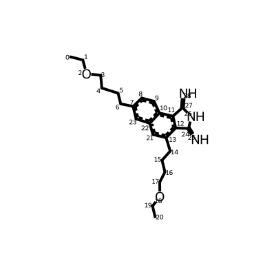 CCOCCCCc1ccc2c3c(c(CCCCOCC)cc2c1)C(=N)NC3=N